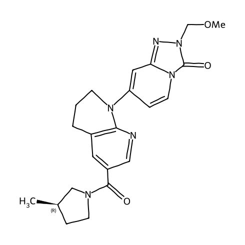 COCn1nc2cc(N3CCCc4cc(C(=O)N5CC[C@@H](C)C5)cnc43)ccn2c1=O